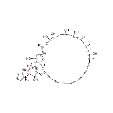 C[C@@H]1[C@H](O)[C@@H](C)/C=C/C=C/C=C/C=C/C=C/C=C/C=C/[C@H](O[C@@H]2O[C@H](C)[C@@H](O)[C@H](N)[C@@H]2O)C[C@@H]2O[C@](O)(C[C@@H](O)C[C@@H](O)[C@H](O)CC[C@@H](O)C[C@@H](O)CC(=O)O[C@H]1C)C[C@H](O)[C@H]2C(=O)NCCn1ncnn1